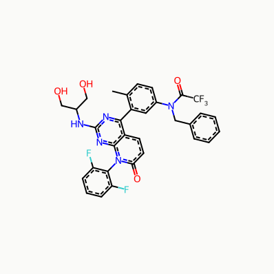 Cc1ccc(N(Cc2ccccc2)C(=O)C(F)(F)F)cc1-c1nc(NC(CO)CO)nc2c1ccc(=O)n2-c1c(F)cccc1F